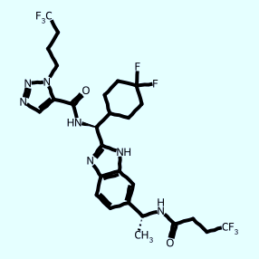 C[C@@H](NC(=O)CCC(F)(F)F)c1ccc2nc([C@@H](NC(=O)c3cnnn3CCCC(F)(F)F)C3CCC(F)(F)CC3)[nH]c2c1